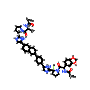 COC(=O)NC(C(=O)N1CCC[C@@]1(F)c1ncc(-c2ccc(-c3ccc4cc(-c5cnc([C@@H]6CCCN6C(=O)C(NC(=O)OC)C(C)C)[nH]5)ccc4c3)cc2)[nH]1)c1ccc2c(c1)OCO2